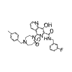 Cc1ccc(CN2CCN(c3nc(C(=O)NCc4cccc(F)c4)c(O)c4ncccc34)S(=O)(=O)CC2)cc1